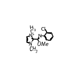 CO/C(=N\c1ccccc1Cl)c1n(C)cc[n+]1C